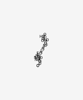 Nc1ncnc2c1n(-c1ccc(Oc3ccccc3)cc1)c(=O)n2[C@@H]1CCN(C2CCN(C3CN(c4cc5c(cc4F)C(=O)N(C4CCC(=O)NC4=O)C5=O)C3)CC2)CC1(F)F